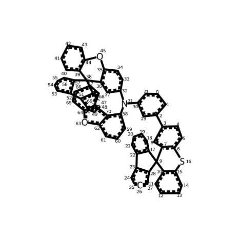 c1cc(-c2ccc3c(c2)C2(c4ccccc4S3)c3ccccc3-c3ccccc32)cc(N(c2ccc3c(c2)C2(c4ccccc4O3)c3ccccc3-c3ccccc32)c2cccc3oc4ccccc4c23)c1